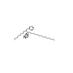 CCCCCCCCCCCCCCC(C(CCCCCCCC)Cc1ccccc1)n1ccnc1